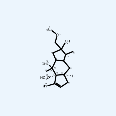 CCCCOCC1(O)CC2C(C[C@H]3CC=C(C(C)C)[C@@]3(C(=O)O)[C@@]2(C)C=O)C1C